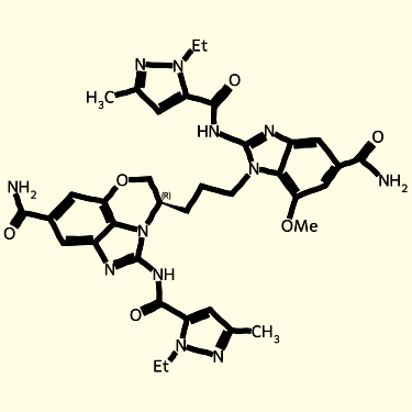 CCn1nc(C)cc1C(=O)Nc1nc2cc(C(N)=O)cc(OC)c2n1CCC[C@@H]1COc2cc(C(N)=O)cc3nc(NC(=O)c4cc(C)nn4CC)n1c23